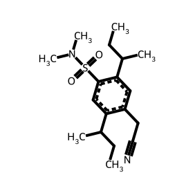 CCC(C)c1cc(S(=O)(=O)N(C)C)c(C(C)CC)cc1CC#N